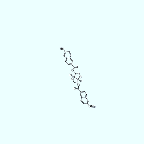 COc1ccc2cc(C(=O)O[C@H]3CO[C@H]4[C@@H]3OC[C@H]4OC(=O)c3ccc4cc(O)ccc4c3)ccc2c1